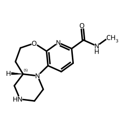 CNC(=O)c1ccc2c(n1)OCC[C@H]1CNCCN21